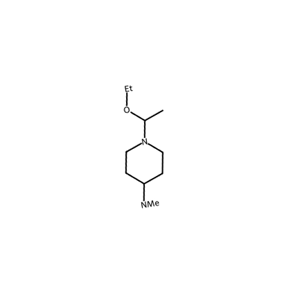 CCOC(C)N1CCC(NC)CC1